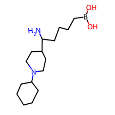 NC(CCCCB(O)O)C1CCN(C2CCCCC2)CC1